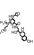 COCCN(C)c1nc(NC2COC2)cc(C(=O)NC[C@@H](O)[C@@H]2Cc3ccc(O)cc3CN2)n1